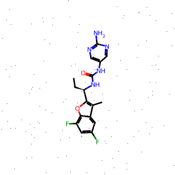 CC[C@@H](NC(=O)Nc1cnc(N)nc1)c1oc2c(F)cc(F)cc2c1C